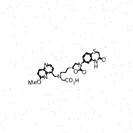 COc1ccc2nccc(CN(CCC[C@H]3CN(c4ccc5c(c4)NC(=O)CS5)C(=O)O3)CC(=O)O)c2n1